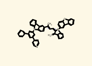 C=c1/c(=C\C=C(/C)c2ccc3c(c2)c2ccccc2n3-c2cc(-c3ccccc3)cc(-c3ccncc3)c2)n(-c2ccc3oc4ccccc4c3c2)c2ccccc12